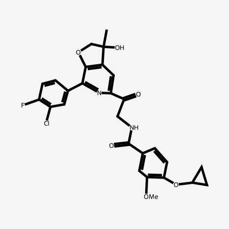 COc1cc(C(=O)NCC(=O)c2cc3c(c(-c4ccc(F)c(Cl)c4)n2)OCC3(C)O)ccc1OC1CC1